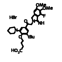 Br.COc1cc2c(c(F)c1OC)C(=N)N(CC(=O)c1cc(N3CCCCC3)c(OCCCC(=O)O)c(C(C)(C)C)c1)C2